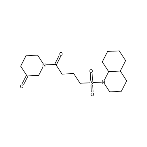 O=C1CCCN(C(=O)CCCS(=O)(=O)N2CCCC3CCCCC32)C1